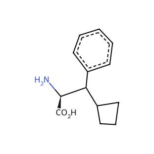 N[C@H](C(=O)O)C(c1ccccc1)C1CCC1